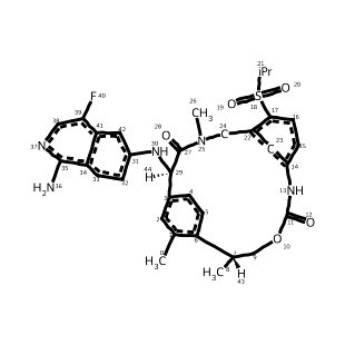 Cc1cc2ccc1[C@@H](C)COC(=O)Nc1ccc(S(=O)(=O)C(C)C)c(c1)CN(C)C(=O)[C@@H]2Nc1ccc2c(N)ncc(F)c2c1